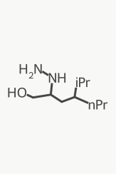 CCCC(CC(CO)NN)C(C)C